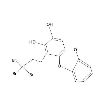 Oc1cc2c(c(CCC(Br)(Br)Br)c1O)Oc1ccccc1O2